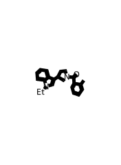 CCn1cc(C2CCN(C(=O)c3ccccc3C)C2)c2ccccc21